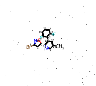 Cc1cnc([C@@H]2CC(Br)=NO2)c(-c2c(F)cccc2F)c1